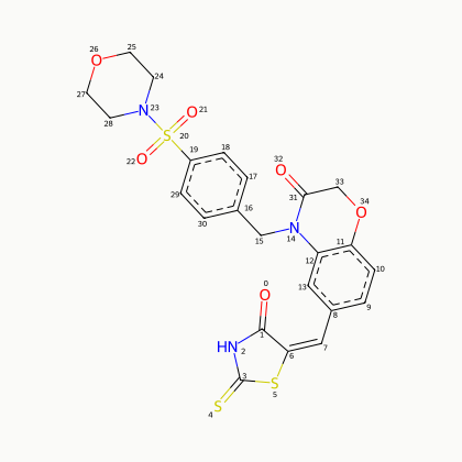 O=C1NC(=S)SC1=Cc1ccc2c(c1)N(Cc1ccc(S(=O)(=O)N3CCOCC3)cc1)C(=O)CO2